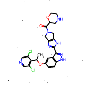 CC(Oc1ccc2[nH]nc(-c3nc4c([nH]3)CN(C(=O)C3CNCCO3)C4)c2c1)c1c(Cl)cncc1Cl